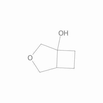 OC12CCC1COC2